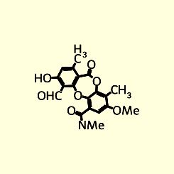 CNC(=O)c1cc(OC)c(C)c2c1Oc1c(C=O)c(O)cc(C)c1C(=O)O2